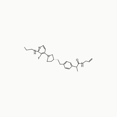 C=CCNC(=O)C(C)c1ccc(CC[C@@H]2CCN(c3ccnc(NCCC)c3F)C2)cc1